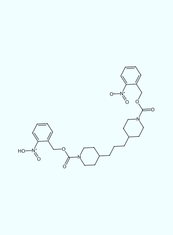 O=C(OCc1ccccc1[N+](=O)[O-])N1CCC(CCCC2CCN(C(=O)OCc3ccccc3[N+](=O)O)CC2)CC1